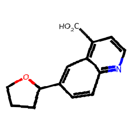 O=C(O)c1ccnc2ccc(C3CCCO3)cc12